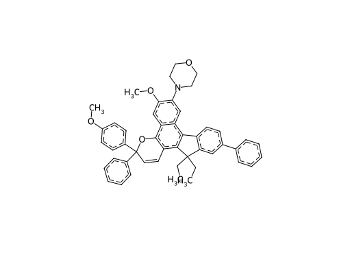 CCC1(CC)c2cc(-c3ccccc3)ccc2-c2c1c1c(c3cc(OC)c(N4CCOCC4)cc23)OC(c2ccccc2)(c2ccc(OC)cc2)C=C1